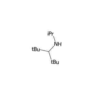 CC(C)NC(C(C)(C)C)C(C)(C)C